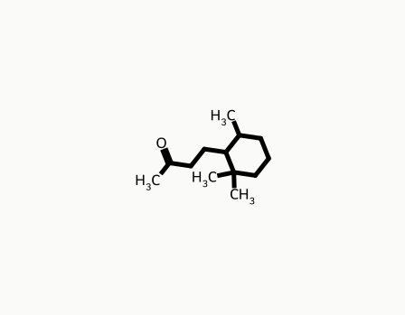 CC(=O)CCC1C(C)CCCC1(C)C